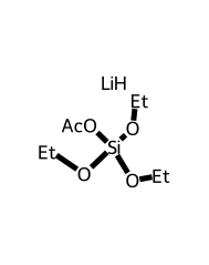 CCO[Si](OCC)(OCC)OC(C)=O.[LiH]